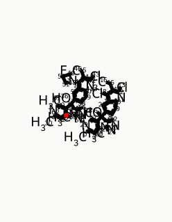 Cc1ccc(C(O)(c2ccc3nc(Cl)c(CC(F)(F)F)c(Cl)c3c2)c2cnnn2C)c(C)n1.Cc1ccc(C(O)(c2ccc3nc(Cl)c(CC(F)(F)F)c(N4CCC4)c3c2)c2cnnn2C)c(C)n1